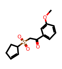 COc1cccc(C(=O)CS(=O)(=O)C2C=CCC2)c1